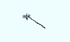 CCCCCCCCC=CCCCCCCCC(=O)n1c(=O)[nH][nH]c1=O